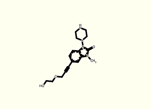 Cn1c(=O)n(N2CCNCC2)c2ccc(C#CCOCCO)cc21